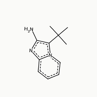 CC(C)(C)c1c(N)nc2ccccn12